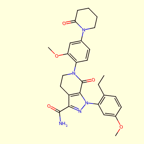 CCc1ccc(OC)cc1-n1nc(C(N)=O)c2c1C(=O)N(c1ccc(N3CCCCC3=O)cc1OC)CC2